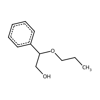 CCCOC(CO)c1ccccc1